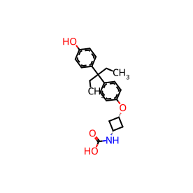 CCC(CC)(c1ccc(O)cc1)c1ccc(O[C@H]2C[C@@H](NC(=O)O)C2)cc1